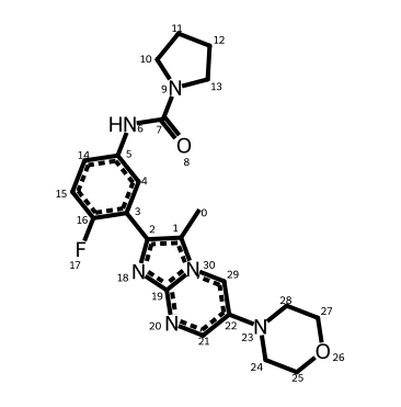 Cc1c(-c2cc(NC(=O)N3CCCC3)ccc2F)nc2ncc(N3CCOCC3)cn12